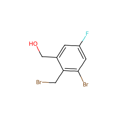 OCc1cc(F)cc(Br)c1CBr